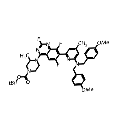 COc1ccc(CN(Cc2ccc(OC)cc2)c2cc(C)cc(-c3c(F)cc4c(N5CCN(C(=O)OC(C)(C)C)CC5C)nc(F)nc4c3F)n2)cc1